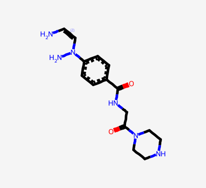 N/C=C\N(N)c1ccc(C(=O)NCC(=O)N2CCNCC2)cc1